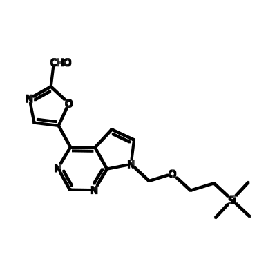 C[Si](C)(C)CCOCn1ccc2c(-c3cnc(C=O)o3)ncnc21